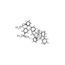 CC(C)c1cc(-c2c(-c3ccccc3)ccc3c2C=C(c2ccccc2)[CH]3[Zr]([Cl])([Cl])[c]2cccc3c2[SiH2]c2ccccc2-3)cc(C(C)C)c1